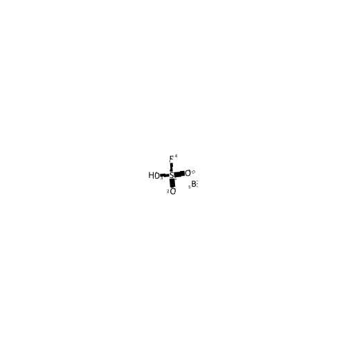 O=S(=O)(O)F.[B]